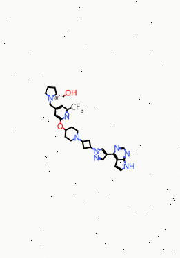 OC[C@H]1CCCN1Cc1cc(OC2CCN(C3CC(n4cc(-c5ncnc6[nH]ccc56)cn4)C3)CC2)nc(C(F)(F)F)c1